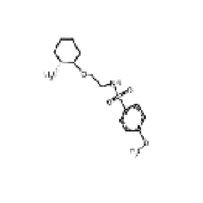 C[C@@H]1CCCC[C@H]1OCCNS(=O)(=O)c1ccc(OC(F)(F)F)cc1